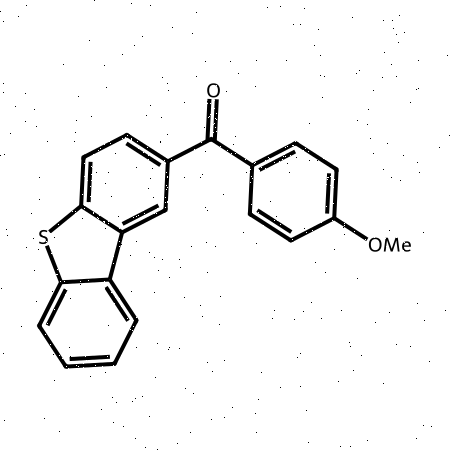 COc1ccc(C(=O)c2ccc3sc4ccccc4c3c2)cc1